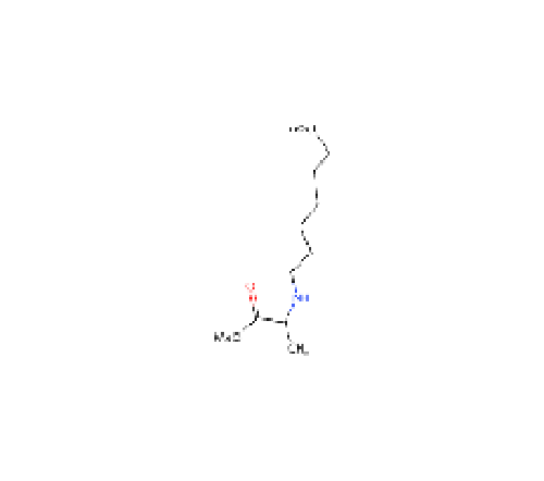 CCCCCCCCCCCCCCNC(C)C(=O)OC